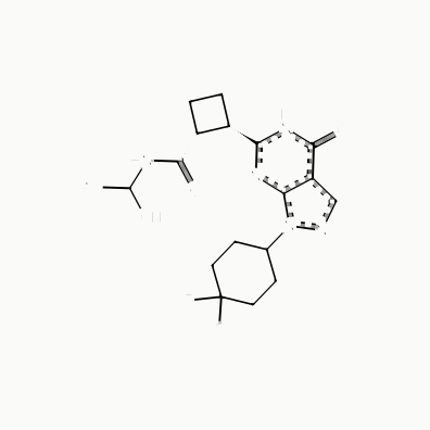 CC(=O)C(C)NC(=O)[C@@H]1CC[C@H]1c1nc2c(cnn2C2CCC(F)(F)CC2)c(=O)[nH]1